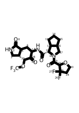 O=C1NCCC1CC(NC(=O)[C@@H]1C2CCCC2CN1C(=O)C1OCCC1(F)F)C(=O)COC(F)(F)F